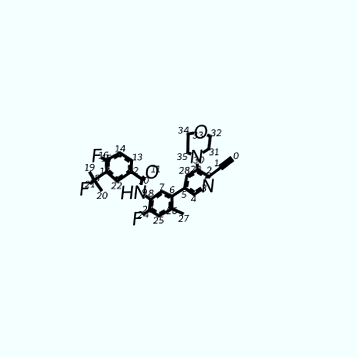 C#Cc1ncc(-c2cc(NC(=O)c3ccc(F)c(C(C)(C)F)c3)c(F)cc2C)cc1N1CCOCC1